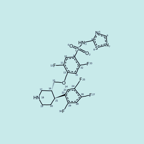 O=S(=O)(Nc1ncns1)c1cc(F)c(OC[C@H]2CNCC[C@@H]2c2cc(F)c(F)cc2F)cc1F